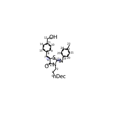 CCCCCCCCCCCCN1C(=O)/C(=C/c2ccc(CO)cc2)S/C1=N\c1ccc(C)cc1